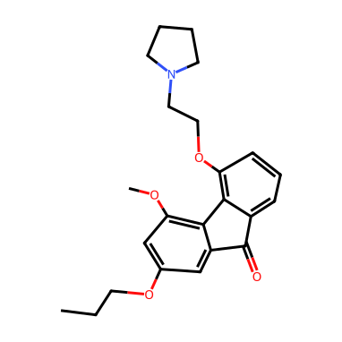 CCCOc1cc(OC)c2c(c1)C(=O)c1cccc(OCCN3CCCC3)c1-2